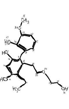 CCc1c(O)cc(O)c(-c2[c]ccc(OC)c2O)c1CCOCCO